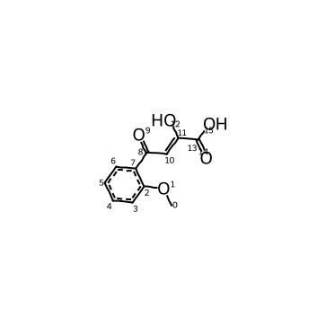 COc1ccccc1C(=O)C=C(O)C(=O)O